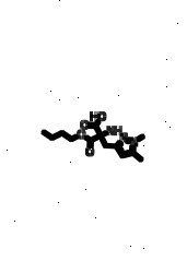 CCCCOC(=O)C(N)(Cc1cc(C)n(C)n1)C(=O)O